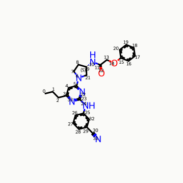 CCCc1cc(N2CC[C@H](NC(=O)COc3ccccc3)C2)nc(Nc2cccc(C#N)c2)n1